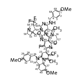 COc1ccc(CNc2ncncc2[C@@H](C)N2CCOc3nc(-c4cc(N(Cc5ccc(OC)cc5)Cc5ccc(OC)cc5)nc(C)c4C(F)(F)F)c(F)c4nc(OC[C@@]56CCN5C[C@]5(CC5(F)F)C6)nc2c34)cc1